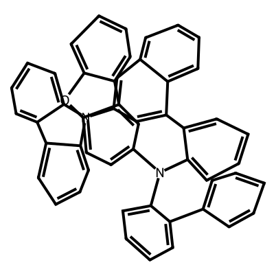 c1ccc(-c2ccccc2N(c2ccc3oc4ccccc4c3c2)c2ccccc2-c2cc(-n3c4ccccc4c4ccccc43)cc3ccccc23)cc1